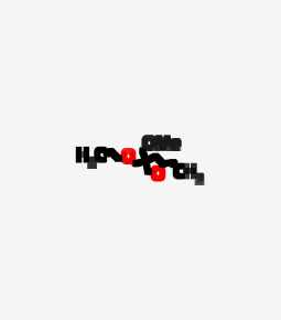 C=CCOCC1(COC)COC(C=C)C1